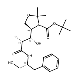 C[C@@H](C(=O)N[C@@H](CO)Cc1ccccc1)[C@@H](O)[C@H]1COC(C)(C)N1C(=O)OC(C)(C)C